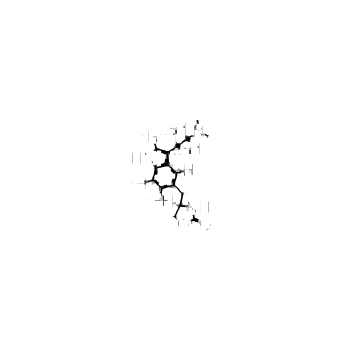 [2H]c1[nH]c2c([2H])c([2H])c(C[C@@]3([2H])COC(=O)N3)c([2H])c2c1C([2H])([2H])C([2H])([2H])N(C)C